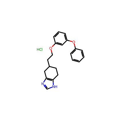 Cl.c1ccc(Oc2cccc(OCCC3CCc4[nH]cnc4C3)c2)cc1